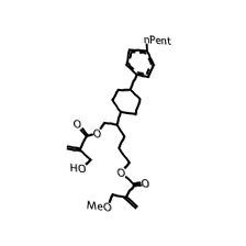 C=C(CO)C(=O)OCC(CCCOC(=O)C(=C)COC)C1CCC(c2ccc(CCCCC)cc2)CC1